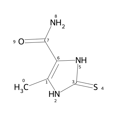 Cc1[nH]c(=S)[nH]c1C(N)=O